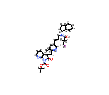 CC(C)(C)OC(=O)N1C(=O)[C@]2(Cc3cc(/C=C/CN(C(=O)C(C)(C)CI)[C@@H]4CCc5ccccc54)cnc3C2)c2cccnc21